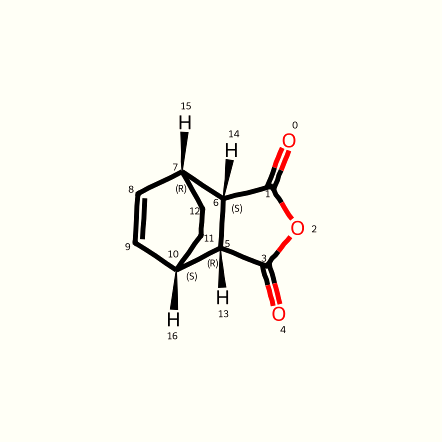 O=C1OC(=O)[C@H]2[C@@H]1[C@H]1C=C[C@@H]2CC1